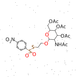 CC(=O)NC1C(OCCSS(=O)(=O)c2ccc([N+](=O)[O-])cc2)OC(COC(C)=O)C(OC(C)=O)C1OC(C)=O